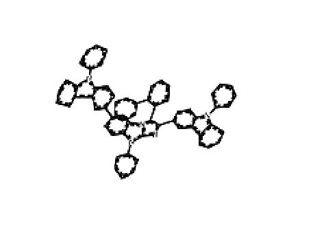 c1ccc(-c2ccccc2-c2c(-c3ccc4c(c3)c3ccccc3n4-c3ccccc3)nc3n(-c4ccccc4)c4ccc(-c5ccc6c(c5)c5ccccc5n6-c5ccccc5)cc4n23)cc1